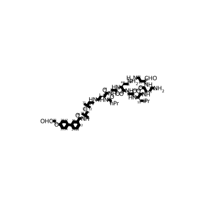 CCCC(=O)N[C@@H](CCNCCC(C)(C)OCC(C)(C)NC(=O)c1cccc(-c2ccc(OCC=O)cc2)c1)C(=O)NCC(=O)N[C@@H](CCN)C(=O)NCC(=O)N[C@@H](CC(C)C)C(=O)N[C@@H](CCN)C(=O)N[C@H](C=O)CCN